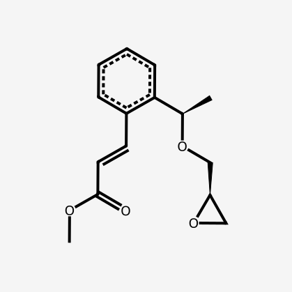 COC(=O)/C=C/c1ccccc1[C@@H](C)OC[C@H]1CO1